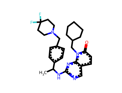 CC(Nc1ncc2ccc(=O)n(CC3CCCCC3)c2n1)c1ccc(CN2CCC(F)(F)CC2)cc1